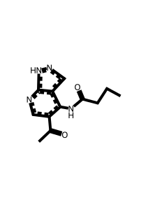 CCCC(=O)Nc1c(C(C)=O)cnc2[nH]ncc12